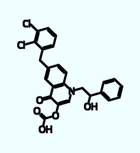 O=C(O)Oc1cn(CC(O)c2ccccc2)c2ccc(Cc3cccc(Cl)c3Cl)cc2c1=O